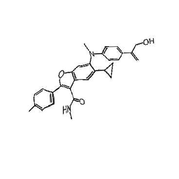 C=C(CO)c1ccc(N(C)c2cc3oc(-c4ccc(C)cc4)c(C(=O)NC)c3cc2C2CC2)cc1